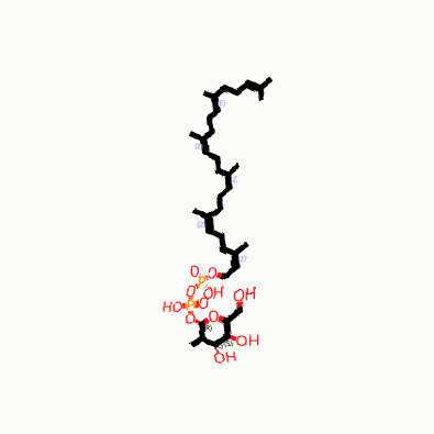 CC(C)=CCC/C(C)=C/CC/C(C)=C\CC/C(C)=C\CC/C(C)=C\CC/C(C)=C\COP(=O)(O)OP(=O)(O)O[C@H]1OC(CO)[C@@H](O)[C@H](O)C1C